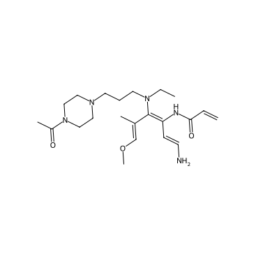 C=CC(=O)NC(/C=C/N)=C(/C(C)=C/OC)N(CC)CCCN1CCN(C(C)=O)CC1